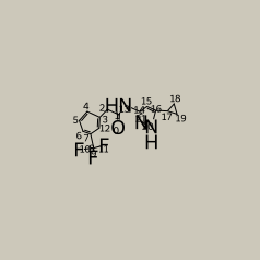 O=C(Cc1cccc(C(F)(F)F)c1)Nc1cc(C2CC2)[nH]n1